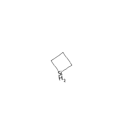 C1C[SiH2]C1